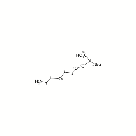 CC(C)(C)C(COCCOCCN)C(=O)O